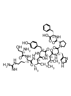 CC[C@H](C)[C@H](NC(=O)[C@H](Cc1ccc(O)cc1)NC(=O)[C@@H](NC(=O)[C@H](CCCNC(=N)N)NC(=O)[C@@H](N)CO)C(C)C)C(=O)N[C@@H](Cc1c[nH]cn1)C(=O)N1CCC[C@H]1C(=O)N[C@@H](Cc1ccccc1)C(=O)O